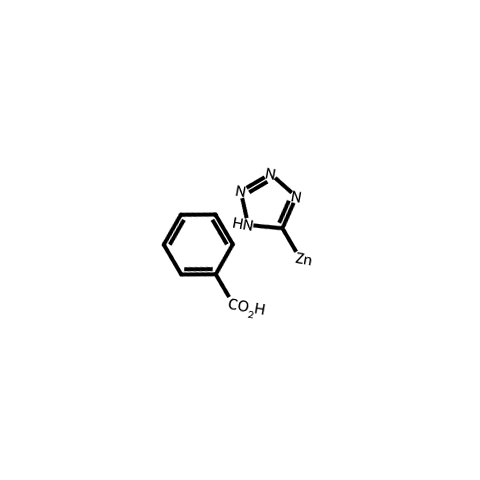 O=C(O)c1ccccc1.[Zn][c]1nnn[nH]1